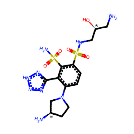 NC[C@@H](O)CNS(=O)(=O)c1ccc(N2CC[C@@H](N)C2)c(-c2nn[nH]n2)c1S(N)(=O)=O